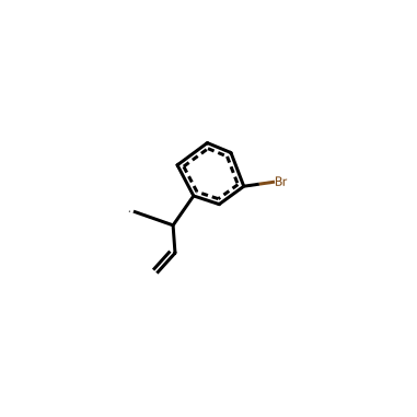 [CH2]C(C=C)c1cccc(Br)c1